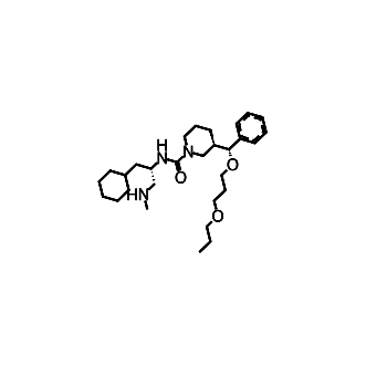 CCCOCCCO[C@@H](c1ccccc1)[C@@H]1CCCN(C(=O)N[C@H](CNC)CC2CCCCC2)C1